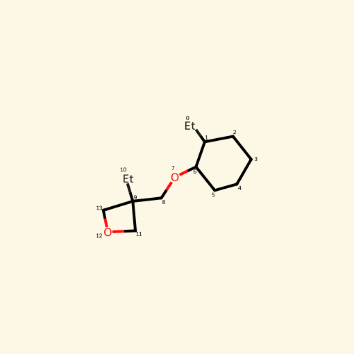 CCC1CCCCC1OCC1(CC)COC1